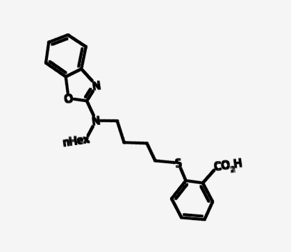 CCCCCCN(CCCCSc1ccccc1C(=O)O)c1nc2ccccc2o1